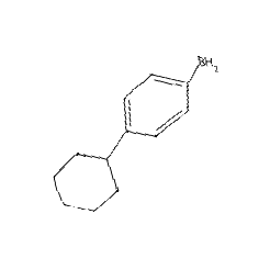 Bc1ccc(C2CCCCC2)cc1